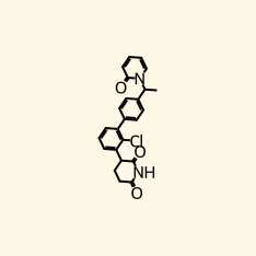 CC(c1ccc(-c2cccc(C3CCC(=O)NC3=O)c2Cl)cc1)n1ccccc1=O